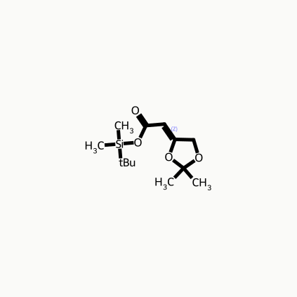 CC1(C)OC/C(=C/C(=O)O[Si](C)(C)C(C)(C)C)O1